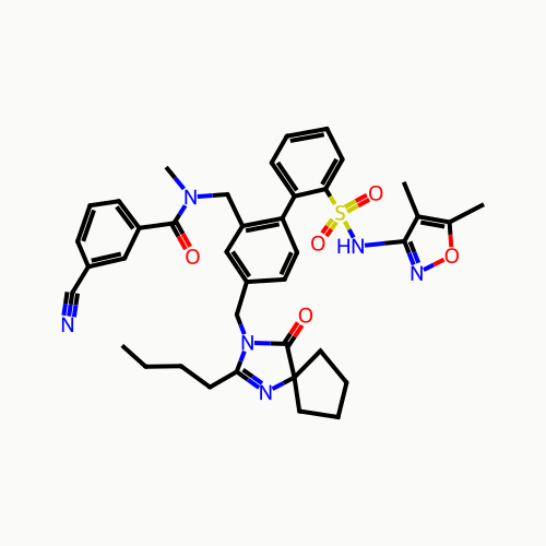 CCCCC1=NC2(CCCC2)C(=O)N1Cc1ccc(-c2ccccc2S(=O)(=O)Nc2noc(C)c2C)c(CN(C)C(=O)c2cccc(C#N)c2)c1